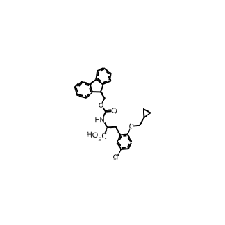 O=C(N[C@@H](Cc1cc(Cl)ccc1OCC1CC1)C(=O)O)OCC1c2ccccc2-c2ccccc21